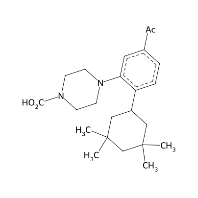 CC(=O)c1ccc(C2CC(C)(C)CC(C)(C)C2)c(N2CCN(C(=O)O)CC2)c1